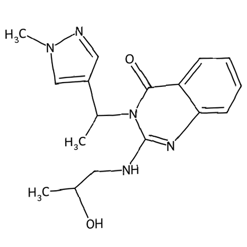 CC(O)CNc1nc2ccccc2c(=O)n1C(C)c1cnn(C)c1